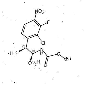 C[C@@H](c1ccc([N+](=O)[O-])c(F)c1Cl)[C@@H](NC(=O)OC(C)(C)C)C(=O)O